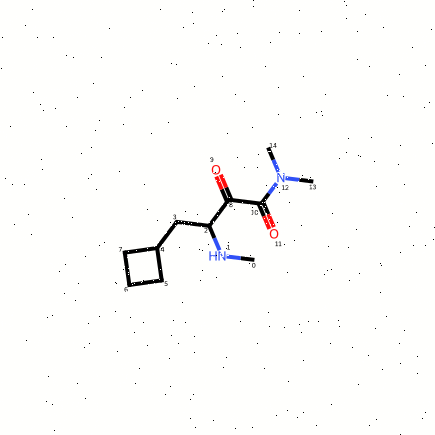 CNC(CC1CCC1)C(=O)C(=O)N(C)C